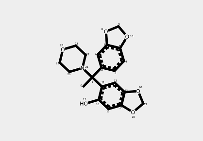 CC(c1ccc2c(c1)OCO2)(c1cc2c(cc1O)OCO2)N1CCOCC1